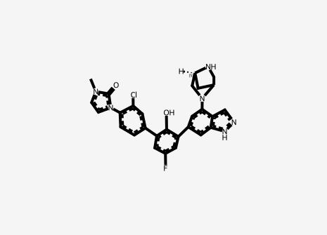 Cn1ccn(-c2ccc(-c3cc(F)cc(-c4cc(N5C[C@@H]6CC5CN6)c5cn[nH]c5c4)c3O)cc2Cl)c1=O